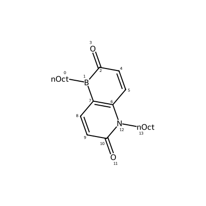 CCCCCCCCB1C(=O)C=Cc2c1ccc(=O)n2CCCCCCCC